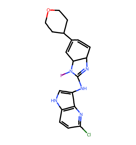 Clc1ccc2[nH]cc(NC3=NC4C=CC(C5CCOCC5)=CC4N3I)c2n1